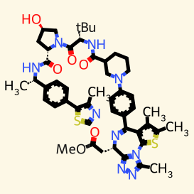 COC(=O)C[C@@H]1N=C(c2ccc(N3CCCC(C(=O)N[C@H](C(=O)N4C[C@H](O)C[C@H]4C(=O)N[C@@H](C)c4ccc(-c5scnc5C)cc4)C(C)(C)C)C3)cc2)c2c(sc(C)c2C)-n2c(C)nnc21